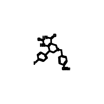 COc1ccc(CN2Cc3c([nH]c(=O)[nH]c3=O)C(c3ccc(F)cc3)C2)cc1